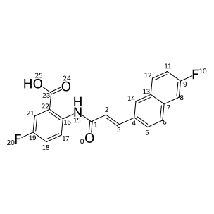 O=C(C=Cc1ccc2cc(F)ccc2c1)Nc1ccc(F)cc1C(=O)O